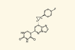 O=c1[nH]cc(-c2cc([C@@H]3C[C@H]3c3ccc(F)cc3)c3nccn3n2)c(=O)[nH]1